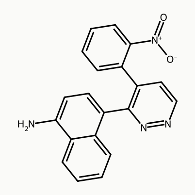 Nc1ccc(-c2nnccc2-c2ccccc2[N+](=O)[O-])c2ccccc12